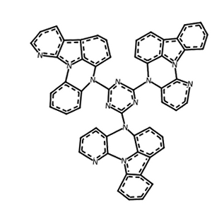 c1ccc2c(c1)N(c1nc(N3c4cccnc4-n4c5ccccc5c5cccc3c54)nc(N3c4cccnc4-n4c5ccccc5c5cccc3c54)n1)c1cccc3c4cccnc4n-2c13